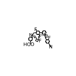 N#Cc1ccc(COc2cccc(-c3cc(F)c(Cc4nc5ccc(C(=O)O)cc5n4CC4CCC4(F)F)cc3F)n2)c(F)c1